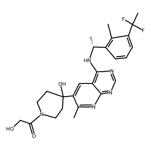 Cc1nc2ncnc(N[C@H](C)c3cccc(C(C)(F)F)c3C)c2cc1C1(O)CCN(C(=O)CO)CC1